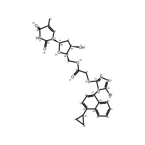 Cc1cn([C@H]2C[C@@H](O)[C@@H](COC(=O)CSc3nnc(Br)n3-c3ccc(C4CC4)c4ccccc34)O2)c(=O)[nH]c1=O